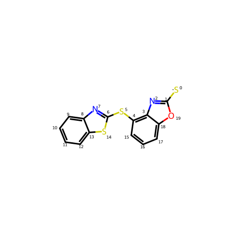 [S]c1nc2c(Sc3nc4ccccc4s3)cccc2o1